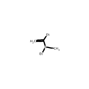 C=C(CC)N(C)CC